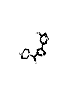 O=C(c1cc(-c2cncc(O)c2)cs1)N1CCNCC1